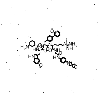 COc1ccc2[nH]cc(C[C@H](NC(=O)[C@H]3CCC[C@H](N)C3)C(=O)N[C@@H](Cc3ccc(-c4ccccc4OC)cc3)C(=O)N[C@@H](CCCCNC(=N)N)C(=O)NCC(=O)Nc3ccc(N4CC5(COC5)C4)cc3)c2c1